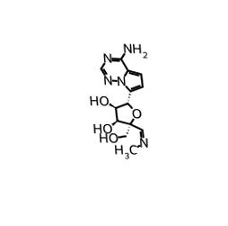 C/N=C\[C@]1(CO)O[C@@H](c2ccc3c(N)ncnn23)[C@H](O)[C@@H]1O